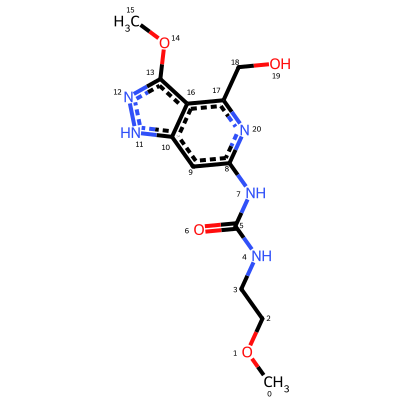 COCCNC(=O)Nc1cc2[nH]nc(OC)c2c(CO)n1